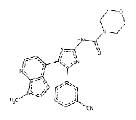 Cn1ccc2c(-c3sc(NC(=O)N4CCOCC4)nc3-c3cccc(C#N)c3)ccnc21